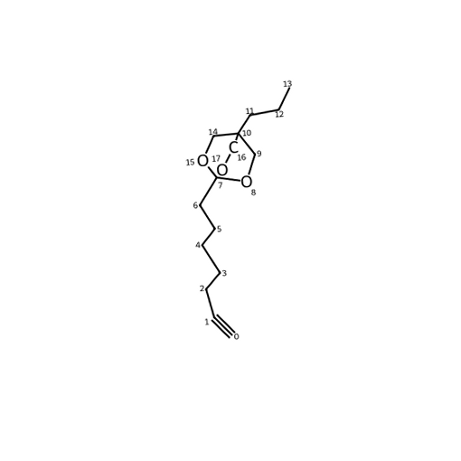 C#CCCCCCC12OCC(CCC)(CO1)CO2